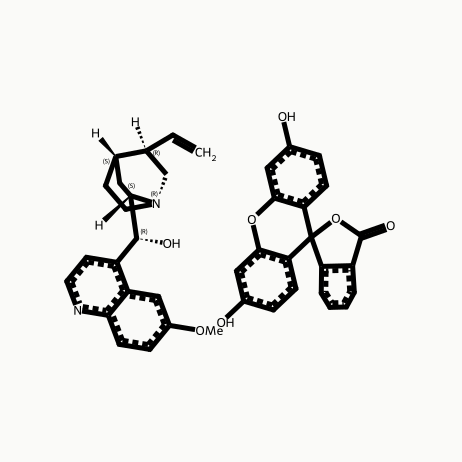 C=C[C@H]1C[N@]2CC[C@H]1C[C@H]2[C@H](O)c1ccnc2ccc(OC)cc12.O=C1OC2(c3ccc(O)cc3Oc3cc(O)ccc32)c2ccccc21